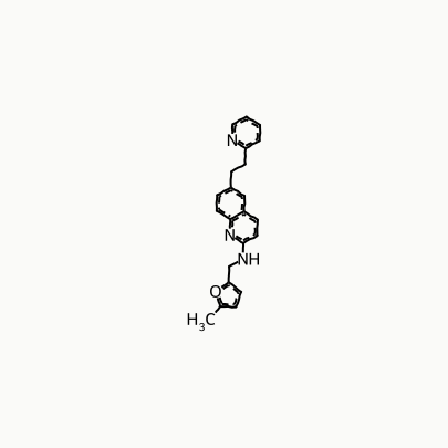 Cc1ccc(CNc2ccc3cc(CCc4ccccn4)ccc3n2)o1